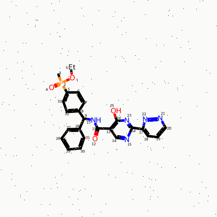 CCOP(C)(=O)c1ccc(C(NC(=O)c2cnc(-c3cccnn3)nc2O)c2ccccc2)cc1